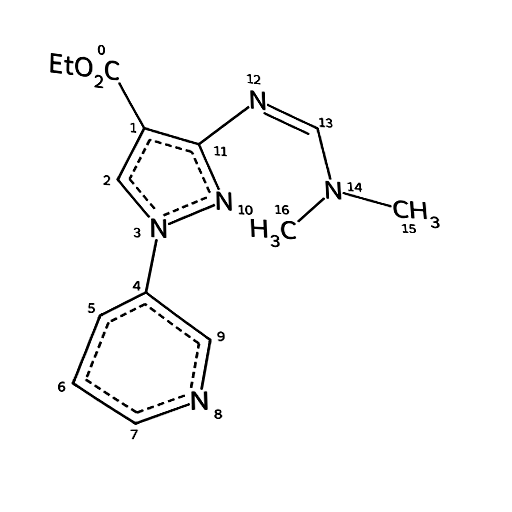 CCOC(=O)c1cn(-c2cccnc2)nc1/N=C\N(C)C